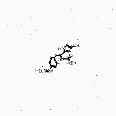 Cc1c[nH]c([C@H](Cc2ccc(NS(=O)(=O)O)cc2)NC(=O)C(C)(C)C)n1